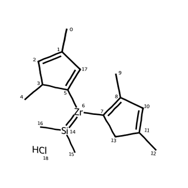 CC1=CC(C)[C]([Zr]([C]2=C(C)C=C(C)C2)=[Si](C)C)=C1.Cl